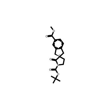 COC(=O)c1ccc2c(c1)C[C@]1(CCN(C(=O)OC(C)(C)C)C1=O)C2